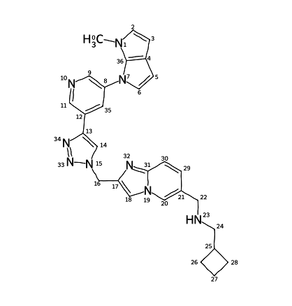 Cn1ccc2ccn(-c3cncc(-c4cn(Cc5cn6cc(CNCC7CCC7)ccc6n5)nn4)c3)c21